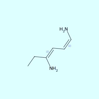 CC/C(N)=C/C=C\N